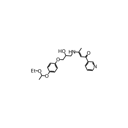 CCOC(C)Oc1ccc(OCC(O)CNC(C)=CC(=O)c2cccnc2)cc1